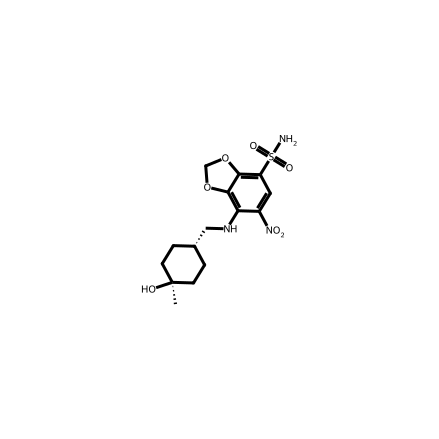 C[C@]1(O)CC[C@H](CNc2c([N+](=O)[O-])cc(S(N)(=O)=O)c3c2OCO3)CC1